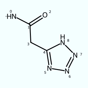 [NH]C(=O)Cc1nnn[nH]1